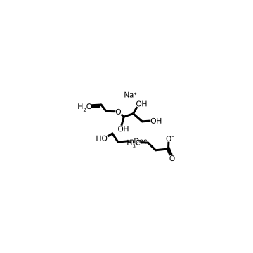 C=CCOC(O)C(O)CO.CCCC(=O)[O-].CCCCCCCCCCCCO.[Na+]